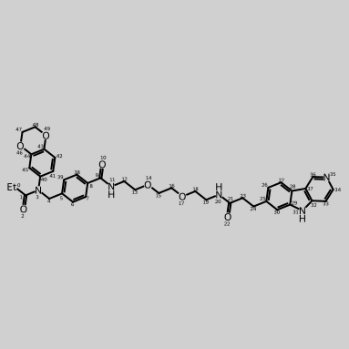 CCC(=O)N(Cc1ccc(C(=O)NCCOCCOCCNC(=O)CCc2ccc3c(c2)[nH]c2ccncc23)cc1)c1ccc2c(c1)OCCO2